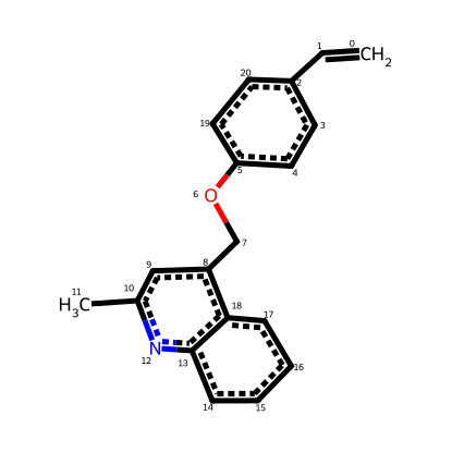 C=Cc1ccc(OCc2cc(C)nc3ccccc23)cc1